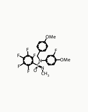 CN=S(=O)(c1c(F)c(F)c(F)c(F)c1F)N(Cc1ccc(OC)cc1)c1ccc(OC)c(F)c1